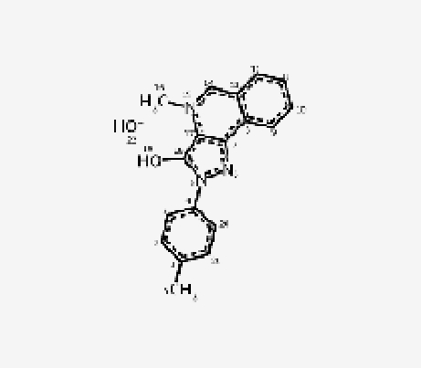 Cc1ccc(-n2nc3c4ccccc4c[n+](C)c3c2O)cc1.[OH-]